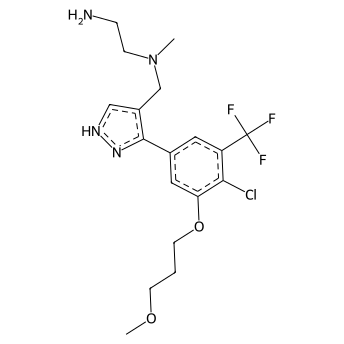 COCCCOc1cc(-c2n[nH]cc2CN(C)CCN)cc(C(F)(F)F)c1Cl